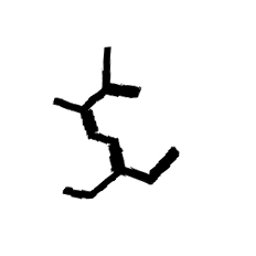 C=CC(=CC=C(C)C(=C)C)CC